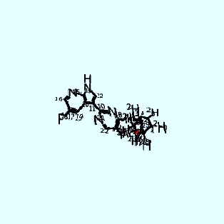 [2H]C1C([2H])[C@]2([2H])[C@H](Nc3nc(-c4c[nH]c5ncc(F)cc45)ncc3F)[C@@H](C(C)=O)C1([2H])C([2H])([2H])C2([2H])[2H]